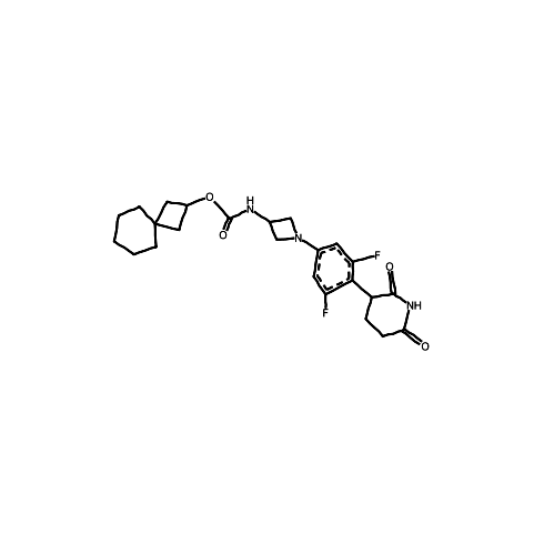 O=C1CCC(c2c(F)cc(N3CC(NC(=O)OC4CC5(CCCCC5)C4)C3)cc2F)C(=O)N1